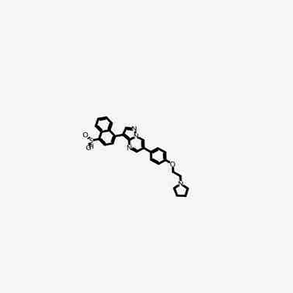 O=[SH](=O)c1ccc(-c2cnn3cc(-c4ccc(OCCN5CCCC5)cc4)cnc23)c2ccccc12